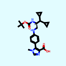 Cn1cnc(C(=O)O)c1-c1ccc(NC[C@@H](NC(=O)OC(C)(C)C)C(C2CC2)C2CC2)cc1